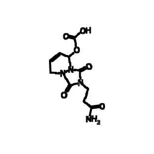 NC(=O)CCn1c(=O)n2n(c1=O)C(OC(=O)O)C=CC2